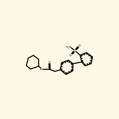 NS(=O)(=O)c1ccccc1-c1ccc(CC(=O)NC2CCCCC2)cc1